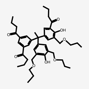 CCCOCc1cc(C(C)(c2cc(C(=O)CCC)cc(C(=O)CCC)c2)c2cc(COCCC)c(O)c(C(=O)CCC)c2)cc(COCCC)c1O